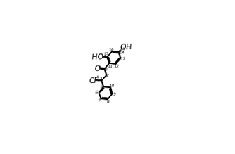 O=C(CC(Cl)c1ccccc1)c1ccc(O)cc1O